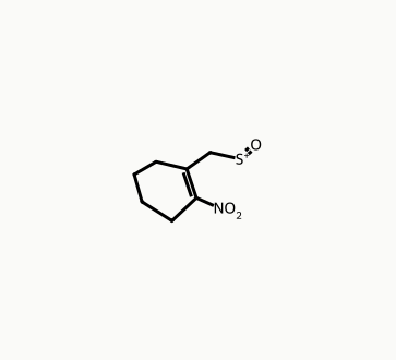 O=[S+]CC1=C([N+](=O)[O-])CCCC1